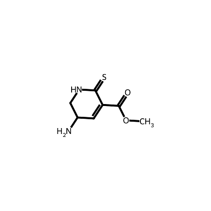 COC(=O)C1=CC(N)CNC1=S